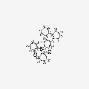 c1ccc(-c2ccccc2-c2ccc3c(c2)B2c4ccccc4Oc4cccc(c42)O3)cc1